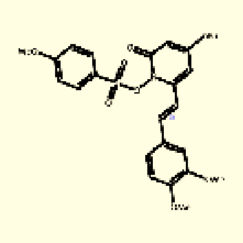 CCCCc1cc(/C=C/c2ccc(OC)c(OC)c2)n(OS(=O)(=O)c2ccc(OC)cc2)c(=O)c1